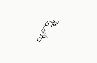 CC(C)N(c1ccccc1)S(=O)(=O)c1ccc(Oc2ccc(C=C3SC(=O)NC3=O)cc2)cc1